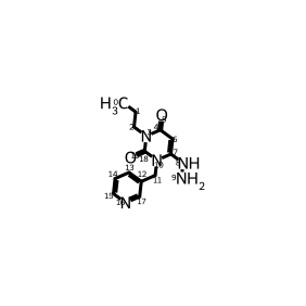 CCCn1c(=O)cc(NN)n(Cc2cccnc2)c1=O